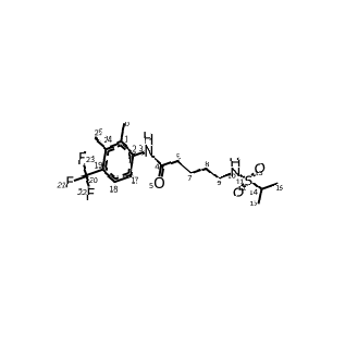 Cc1c(NC(=O)CCCCNS(=O)(=O)C(C)C)ccc(C(F)(F)F)c1C